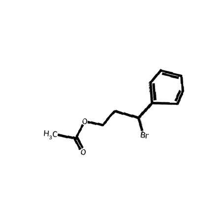 CC(=O)OCCC(Br)c1ccccc1